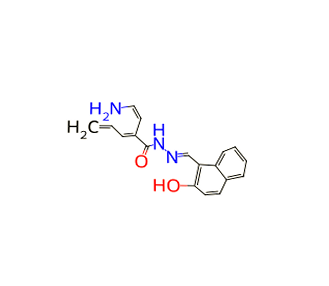 C=C/C=C(\C=C/N)C(=O)N/N=C/c1c(O)ccc2ccccc12